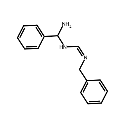 NC(N/C=N\Cc1ccccc1)c1ccccc1